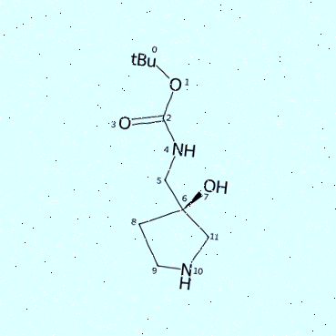 CC(C)(C)OC(=O)NC[C@@]1(O)CCNC1